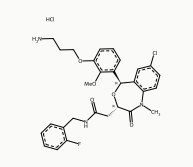 COc1c(OCCCN)cccc1[C@@H]1O[C@@H](CC(=O)NCc2ccccc2F)C(=O)N(C)c2ccc(Cl)cc21.Cl